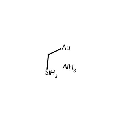 [AlH3].[SiH3][CH2][Au]